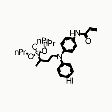 C=CC(=O)Nc1ccc(N(CCC(C)[Si](OCCC)(OCCC)OCCC)c2ccccc2)cc1.I